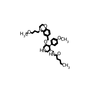 CCCCC(=O)NC[C@@H]1CNC[C@H](OCc2ccc3c(c2)N(CCCOC)CCO3)[C@H]1c1ccc(OC)cc1